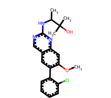 COc1cc2nc(NC(C)C(C)(C)O)ncc2cc1-c1ccccc1Cl